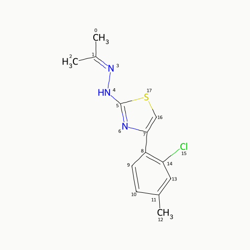 CC(C)=NNc1nc(-c2ccc(C)cc2Cl)cs1